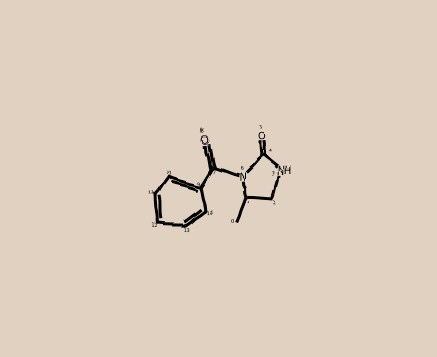 CC1CNC(=O)N1C(=O)c1ccccc1